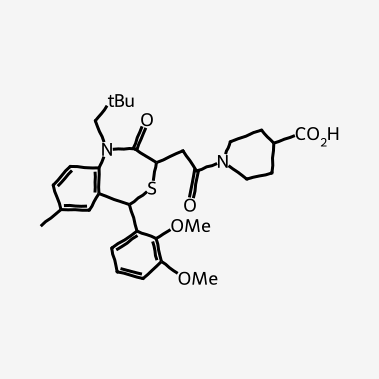 COc1cccc(C2SC(CC(=O)N3CCC(C(=O)O)CC3)C(=O)N(CC(C)(C)C)c3ccc(C)cc32)c1OC